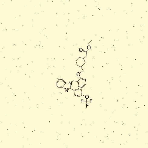 CCOC(=O)CC1CCCC(COc2ccccc2Cn2c(-c3ccc(OC(F)(F)F)cc3)nc3ccccc32)C1